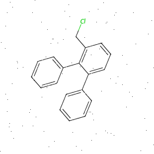 ClCc1cccc(-c2ccccc2)c1-c1ccccc1